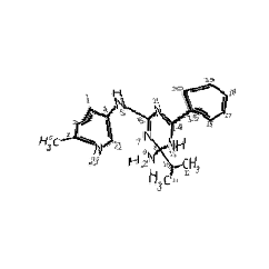 Cc1ccc(NC2=NC(N)(C(C)C)NC(c3ccccc3)=N2)cn1